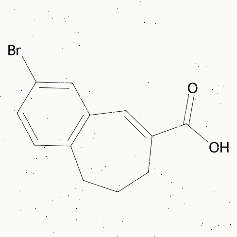 O=C(O)C1=Cc2cc(Br)ccc2CCC1